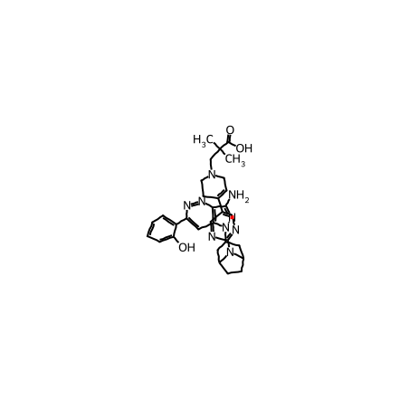 CC(C)(CN1CC=C(c2cnc(N3C4CCC3CC(n3nc(N)c5nnc(-c6ccccc6O)cc53)C4)nc2)CC1)C(=O)O